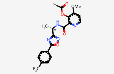 COc1ccnc(C(=O)N[C@@H](C)c2noc(-c3ccc(C(F)(F)F)cc3)n2)c1OC(=O)C(C)C